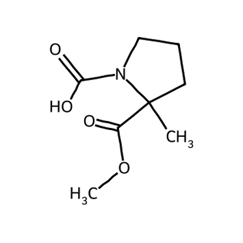 COC(=O)C1(C)CCCN1C(=O)O